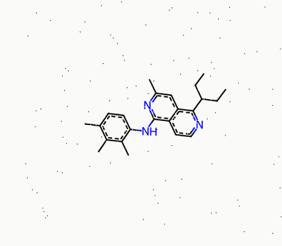 CCC(CC)c1nccc2c(Nc3ccc(C)c(C)c3C)nc(C)cc12